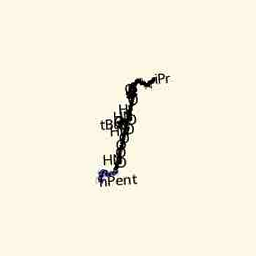 CCCCC/C=C\C/C=C\C/C=C\C/C=C\CCCC(=O)NCCOCCOCCOCCNC(=O)CC[C@H](NC(=O)OC(C)(C)C)C(=O)NCCCCCCOc1c(C)c(C)c2c(c1C)CC[C@@](C)(CCC[C@H](C)CCC[C@H](C)CCCC(C)C)O2